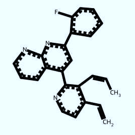 C=Cc1ccnc(-c2cc(-c3ccccc3F)nc3ncccc23)c1/C=C\C